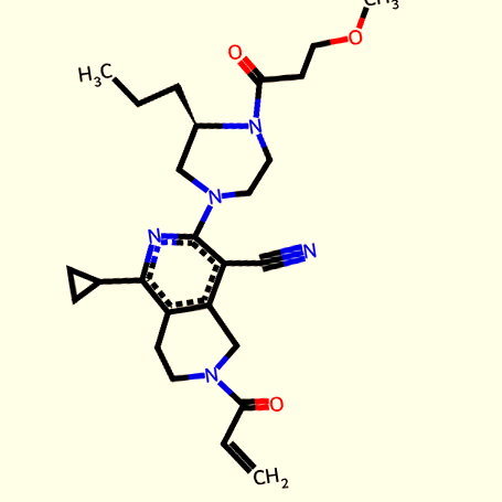 C=CC(=O)N1CCc2c(C3CC3)nc(N3CCN(C(=O)CCOC)[C@H](CCC)C3)c(C#N)c2C1